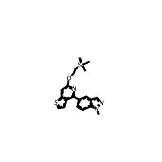 Cn1ncc2cc(-c3nc(OCC[Si](C)(C)C)cc4sccc34)ccc21